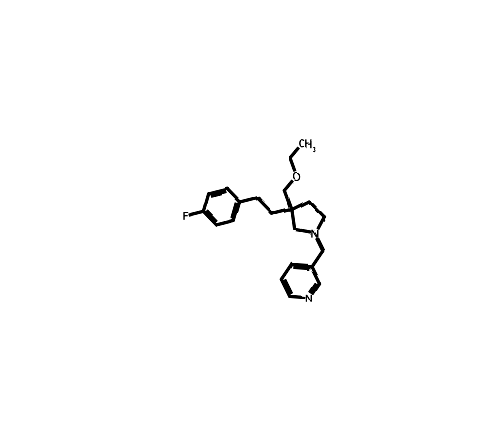 CCOCC1(CCc2ccc(F)cc2)CCN(Cc2cccnc2)C1